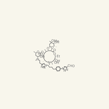 CC[C@H]1OC(=O)[C@H](C)[C@@H](OC2C[C@@](C)(OC)[C@@H](O)[C@H](C)O2)[C@H](C)[C@@H](O[C@@H]2O[C@H](C)C[C@H](N(C)CCc3cn(CCCCc4ccc(-n5cc(C=O)nn5)cc4)nn3)[C@H]2O)[C@](C)(O)C[C@@H](C)CN(C)[C@H](C)[C@@H](O)[C@]1(C)O